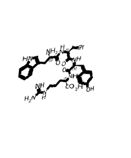 CC(C)C[C@H](NC(=O)[C@@H](N)Cc1c[nH]c2ccccc12)C(=O)N[C@@H](Cc1ccc(O)cc1)C(=O)N[C@@H](CCCNC(=N)N)C(=O)O